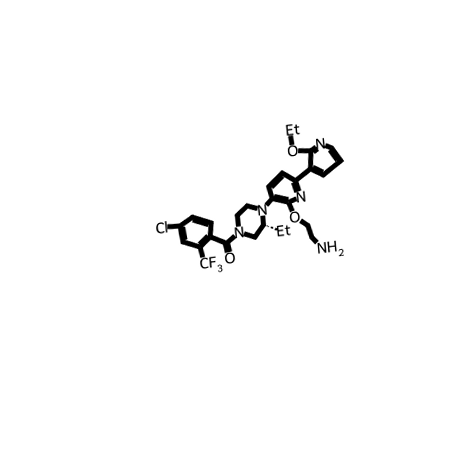 CCOc1ncccc1-c1ccc(N2CCN(C(=O)c3ccc(Cl)cc3C(F)(F)F)C[C@H]2CC)c(OCCN)n1